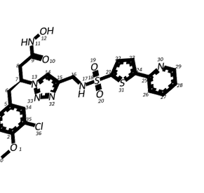 COc1ccc(C[C@@H](CC(=O)NO)n2cc(CNS(=O)(=O)c3ccc(-c4ccccn4)s3)nn2)cc1Cl